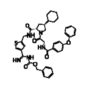 N=C(NC(=O)OCc1ccccc1)c1csc(CNC(=O)[C@@H]2C[C@@H](C3CCCCC3)CN2C(=O)CNC(=O)c2ccc(Oc3ccccc3)cc2)c1